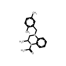 CC(=O)N1c2ccccc2N(Cc2cc(C)ccc2C)CC1C